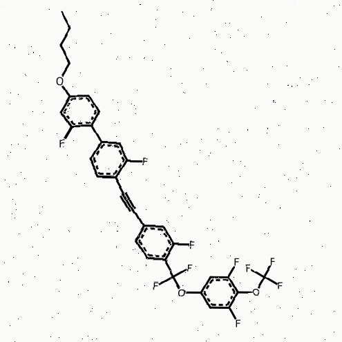 CCCCOc1ccc(-c2ccc(C#Cc3ccc(C(F)(F)Oc4cc(F)c(OC(F)(F)F)c(F)c4)c(F)c3)c(F)c2)c(F)c1